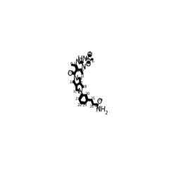 Cc1nc(NS(C)(=O)=O)nc(C)c1C(=O)N1CC2CN(c3cccc(CCC(N)=O)c3)CC2C1